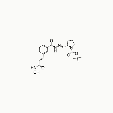 CC(C)(C)OC(=O)N1CCC[C@H]1/C=N/NC(=O)c1cccc(/C=C/C(=O)NO)c1